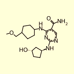 COCC1CCC(Nc2nc(N[C@H]3CC[C@H](O)C3)ncc2C(N)=O)CC1